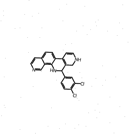 Clc1ccc(C2Nc3c(ccc4ccncc34)C3=C2CNC=C3)cc1Cl